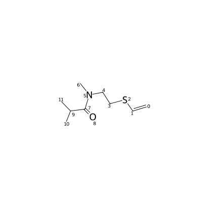 C=CSCCN(C)C(=O)C(C)C